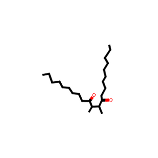 CCCCCCCCCC(=O)C(C)C(C)C(=O)CCCCCCCCC